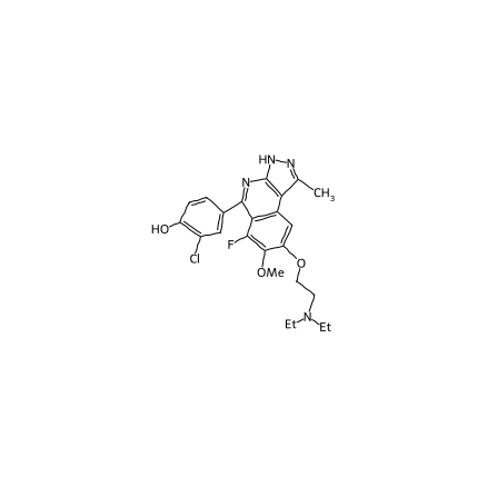 CCN(CC)CCOc1cc2c(c(-c3ccc(O)c(Cl)c3)nc3[nH]nc(C)c32)c(F)c1OC